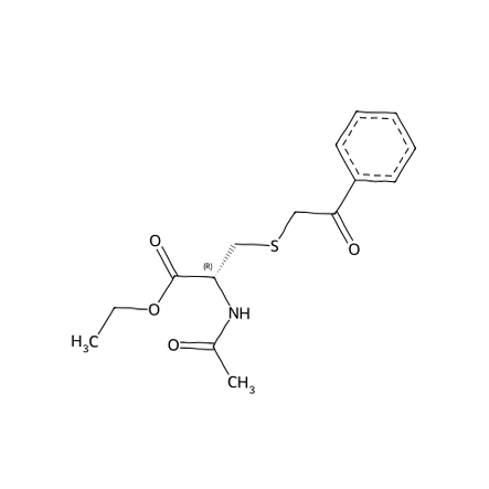 CCOC(=O)[C@H](CSCC(=O)c1ccccc1)NC(C)=O